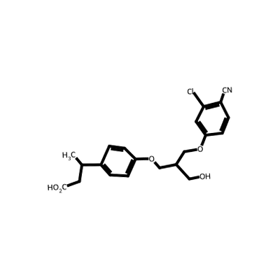 CC(CC(=O)O)c1ccc(OCC(CO)COc2ccc(C#N)c(Cl)c2)cc1